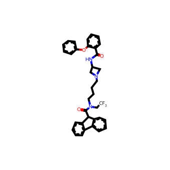 O=C(NC1CN(CCCCN(CC(F)(F)F)C(=O)C2c3ccccc3-c3ccccc32)C1)c1ccccc1Oc1ccccc1